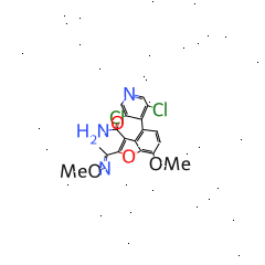 CON=C(C)c1oc2c(OC)ccc(-c3c(Cl)cncc3Cl)c2c1C(N)=O